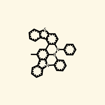 Cc1cc2c3c4c1c1ccccc1n4-c1ccccc1B3N(c1ccccc1)c1ccc3sc4ccccc4c3c1-2